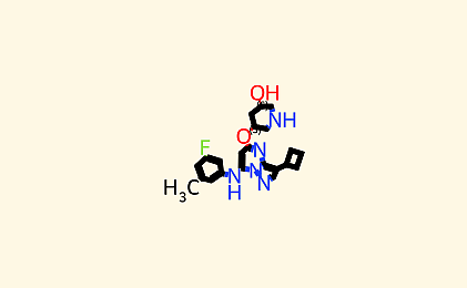 Cc1cc(F)cc(Nc2cc(O[C@@H]3CNC[C@@H](O)C3)nc3c(C4CCC4)cnn23)c1